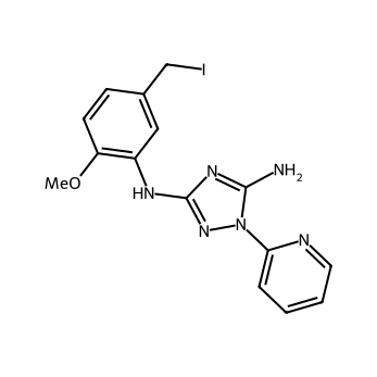 COc1ccc(CI)cc1Nc1nc(N)n(-c2ccccn2)n1